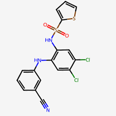 N#Cc1cccc(Nc2cc(Cl)c(Cl)cc2NS(=O)(=O)c2cccs2)c1